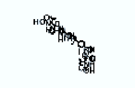 CC(C)[C@H](NC(=O)O)C(=O)N1CCCC1c1ncc(-c2cn3cc(-c4ccc(-c5cnc([C@@H]6CCCN6C(=O)[C@@H](NC(=O)O)C(C)C)[nH]5)cc4)sc3n2)[nH]1